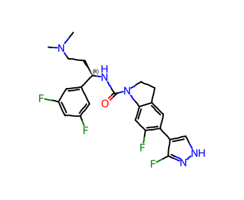 CN(C)CC[C@@H](NC(=O)N1CCc2cc(-c3c[nH]nc3F)c(F)cc21)c1cc(F)cc(F)c1